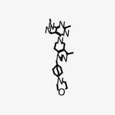 Cc1nc(N2CCc3c(c(C)nn3CC34CCC(N5CCOCC5)(CC3)CC4)C2)c2cnn(C)c2n1